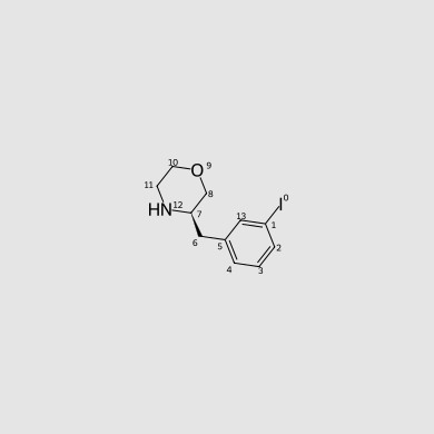 Ic1cccc(C[C@@H]2COCCN2)c1